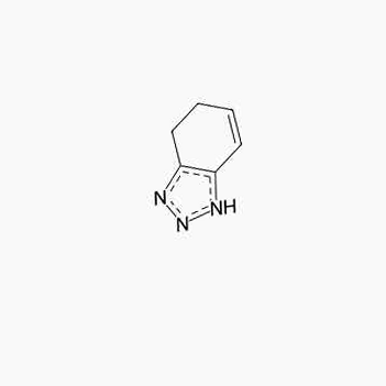 C1=Cc2[nH]nnc2CC1